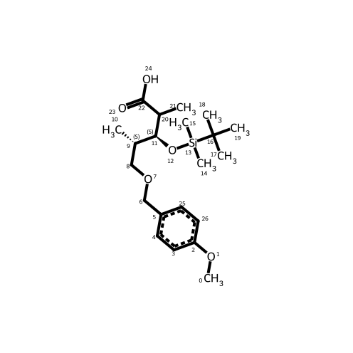 COc1ccc(COC[C@H](C)[C@H](O[Si](C)(C)C(C)(C)C)C(C)C(=O)O)cc1